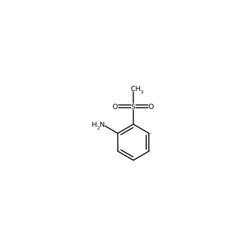 CS(=O)(=O)c1[c]cccc1N